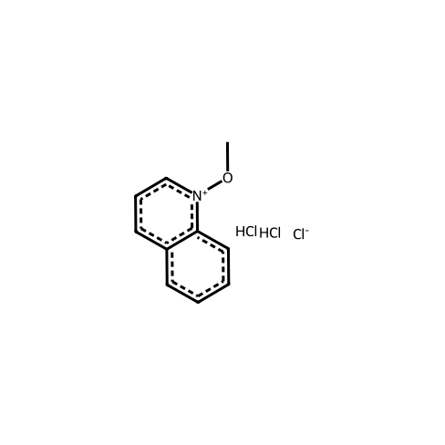 CO[n+]1cccc2ccccc21.Cl.Cl.[Cl-]